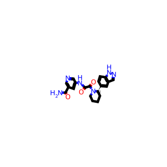 NC(=O)c1cncc(NC(=O)C(=O)N2CCCC[C@H]2c2ccc3[nH]ncc3c2)c1